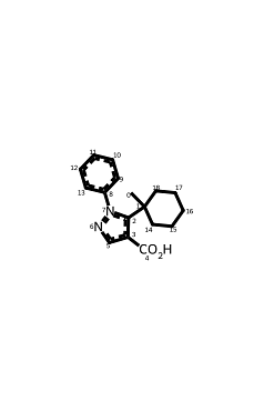 CC1(c2c(C(=O)O)cnn2-c2ccccc2)CCCCC1